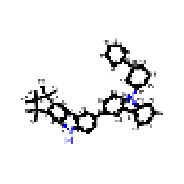 CC1(C)c2cc3[nH]c4ccc(-c5ccc6c(c5)c5ccccc5n6-c5cccc(-c6ccccc6)c5)cc4c3cc2C(C)(C)C1(C)C